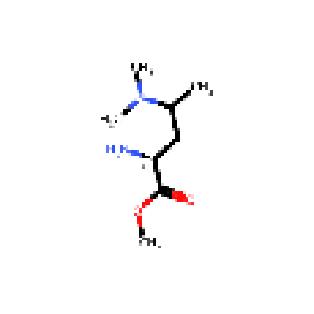 COC(=O)[C@@H](N)CC(C)N(C)C